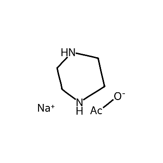 C1CNCCN1.CC(=O)[O-].[Na+]